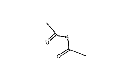 CC(=O)[N]C(C)=O